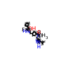 CC[C@@H](NCCc1ccc(C(=O)N(C)Cc2cc(C3CC3)[nH]n2)cc1)[C@H](O)c1ccccc1